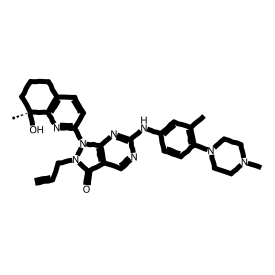 C=CCn1c(=O)c2cnc(Nc3ccc(N4CCN(C)CC4)c(C)c3)nc2n1-c1ccc2c(n1)[C@@](C)(O)CCC2